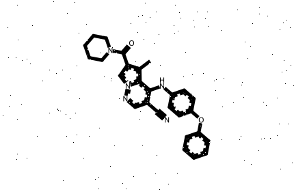 Cc1c(C(=O)N2CCCCC2)cn2ncc(C#N)c(Nc3ccc(Oc4ccccc4)cc3)c12